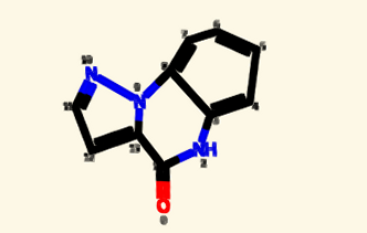 O=c1[nH]c2ccccc2n2nccc12